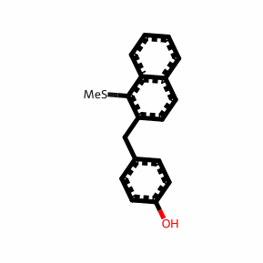 CSc1c(Cc2ccc(O)cc2)ccc2ccccc12